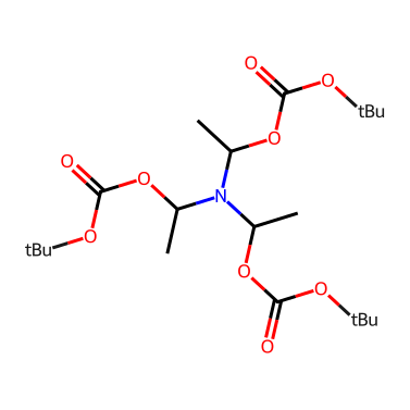 CC(OC(=O)OC(C)(C)C)N(C(C)OC(=O)OC(C)(C)C)C(C)OC(=O)OC(C)(C)C